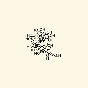 NCCO[C@H]1OC(CO)[C@H](O[C@H]2OC(CO)[C@@H](O[C@@H]3OC(CO)[C@@H](O[C@@H]4OC(C(=O)O)[C@@H](O[C@H]5OC(CO)[C@H](O[C@H]6OC(CO)[C@@H](O)C(O)C6O)[C@H](O)C5O)C(O)[C@@H]4O)C(O)[C@@H]3O)C(O)C2O)[C@H](O)C1O